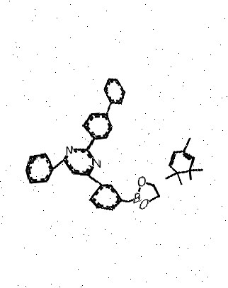 CC1=CC(C)(C)C(C)(C)C=C1.c1ccc(-c2ccc(-c3nc(-c4ccccc4)cc(-c4cccc(B5OCCO5)c4)n3)cc2)cc1